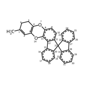 CC1=CC2=C(CC1)Oc1ccc3c(c1O2)-c1ccccc1C31c2ccccc2-c2ccccc21